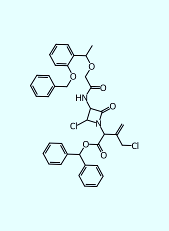 C=C(CCl)C(C(=O)OC(c1ccccc1)c1ccccc1)N1C(=O)C(NC(=O)COC(C)c2ccccc2OCc2ccccc2)C1Cl